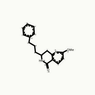 COc1ccc2c(n1)CC(CCCc1ccccc1)NC2=O